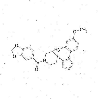 COc1ccc2c(c1)NC1(CCN(C(=O)c3ccc4c(c3)OCO4)CC1)c1cccn1-2